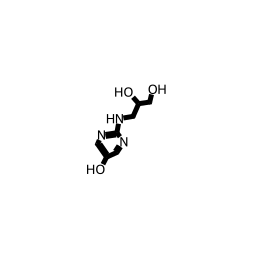 OCC(O)CNc1ncc(O)cn1